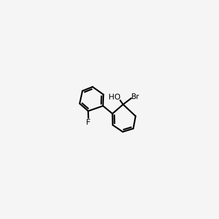 OC1(Br)CC=CC=C1c1ccccc1F